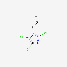 C=CCn1c(Cl)c(Cl)[n+](C)c1Cl